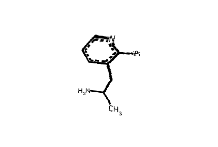 CC(N)Cc1cccnc1C(C)C